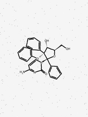 Nc1ccn([C@]2(c3ccccc3)O[C@H](CO)[C@@H](O)[C@]2(Oc2ccccc2)c2ccccc2)c(=O)n1